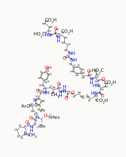 CCCCCCOCN(C(=O)[C@@H](NC(=O)[C@H]1CCCCN1C)C(C)CC)[C@H](C[C@@H](OC(C)=O)c1nc(C(=O)N[C@@H](Cc2ccc(O)cc2)C[C@H](C)C(=O)NNC(=O)OCCSSC[C@H](NC(=O)[C@H](CC(=O)O)NC(=O)[C@H](CC(=O)O)NC(=O)Cc2ccc(CNC(=O)NCCCC[C@H](NC(=O)N[C@@H](CCC(=O)O)C(=O)O)C(=O)O)cc2)C(=O)O)cs1)C(C)C